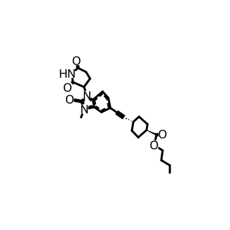 CCCCOC(=O)[C@H]1CC[C@H](C#Cc2ccc3c(c2)n(C)c(=O)n3C2CCC(=O)NC2=O)CC1